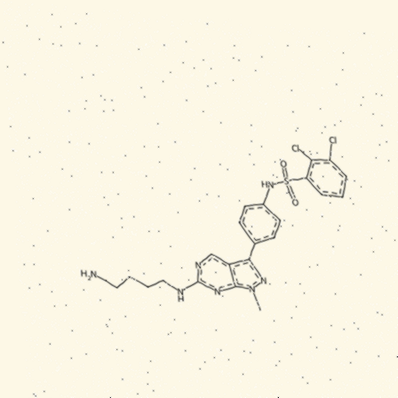 Cn1nc(-c2ccc(NS(=O)(=O)c3cccc(Cl)c3Cl)cc2)c2cnc(NCCCCN)nc21